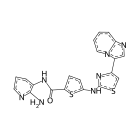 Nc1ncccc1NC(=O)c1ccc(Nc2nc(-c3cnc4ccccn34)cs2)s1